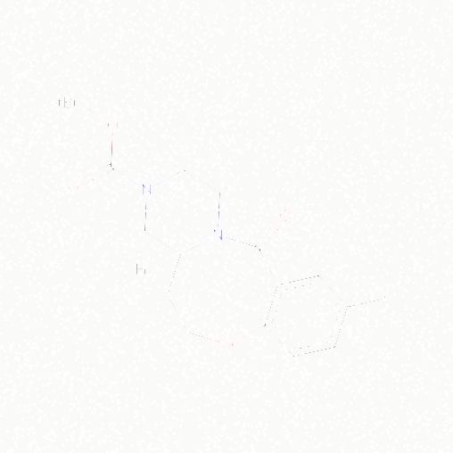 CC(C)(C)OC(=O)N1CCN2C(=O)c3cc(Cl)ccc3OCC[C@H]2C1